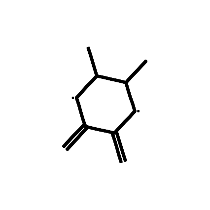 C=C1[CH]C(C)C(C)[CH]C1=C